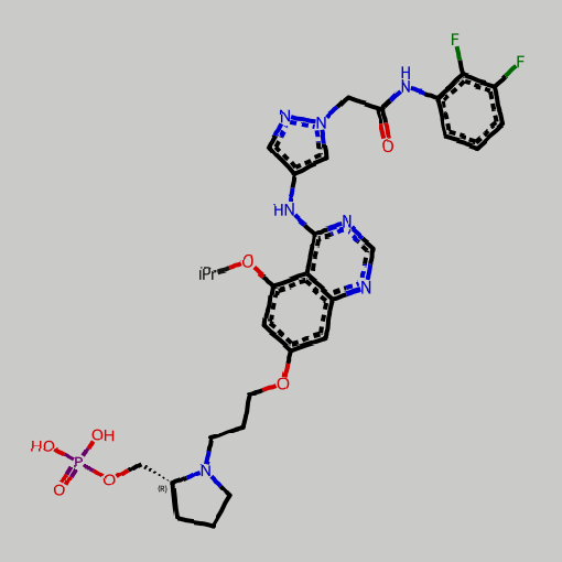 CC(C)Oc1cc(OCCCN2CCC[C@@H]2COP(=O)(O)O)cc2ncnc(Nc3cnn(CC(=O)Nc4cccc(F)c4F)c3)c12